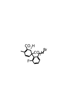 CC1=C(C(=O)O)CC(C(=O)O)(c2c(F)cccc2CCBr)C=C1